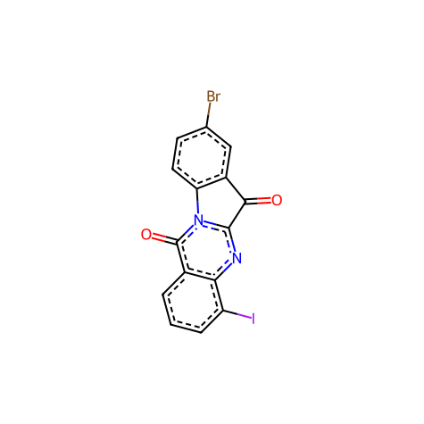 O=C1c2cc(Br)ccc2-n2c1nc1c(I)cccc1c2=O